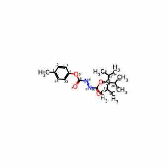 Cc1ccc(OC(=O)N=NC(=O)O[Si](C(C)C)(C(C)C)C(C)C)cc1